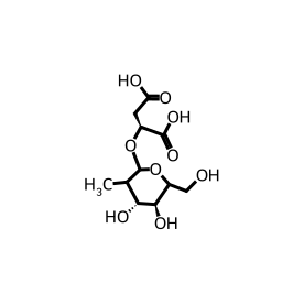 CC1C(O[C@@H](CC(=O)O)C(=O)O)OC(CO)[C@@H](O)[C@@H]1O